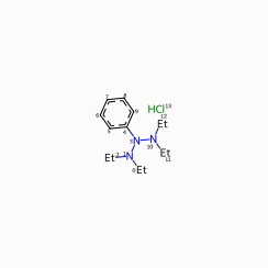 CCN(CC)N(c1ccccc1)N(CC)CC.Cl